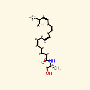 CC(C)/C=C\C/C=C\C/C=C\C/C=C\CCCC(=O)N[C@H](C)CO